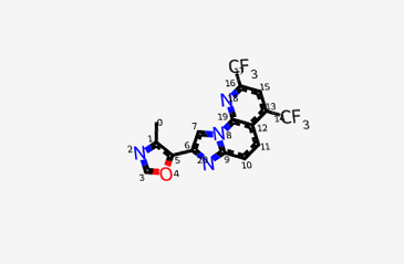 Cc1ncoc1-c1cn2c(ccc3c(C(F)(F)F)cc(C(F)(F)F)nc32)n1